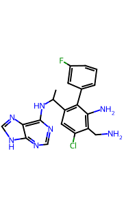 CC(Nc1ncnc2[nH]cnc12)c1cc(Cl)c(CN)c(N)c1-c1cccc(F)c1